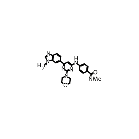 CNC(=O)c1ccc(Nc2cc(-c3ccc4ncn(C)c4c3)nc(N3CCOCC3)n2)cc1